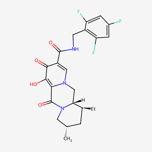 CC[C@H]1C[C@H](C)CN2C(=O)c3c(O)c(=O)c(C(=O)NCc4c(F)cc(F)cc4F)cn3C[C@H]12